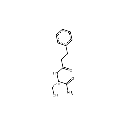 NC(=O)[C@H](CO)NC(=O)CCc1ccccc1